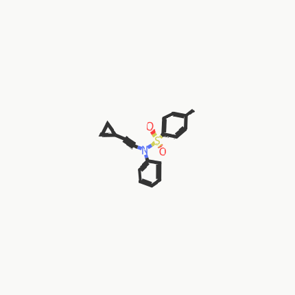 Cc1ccc(S(=O)(=O)N(C#CC2CC2)c2ccccc2)cc1